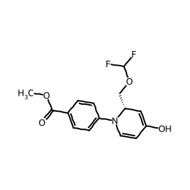 COC(=O)c1ccc(N2C=CC(O)=C[C@H]2COC(F)F)cc1